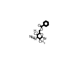 CC1[C@@H](N=[N+]=[N-])[C@@H](C)C(COC(=O)c2ccccc2)O[C@@H]1Br